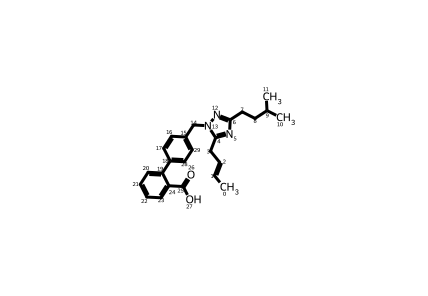 CC=CCc1nc(CCC(C)C)nn1Cc1ccc(-c2ccccc2C(=O)O)cc1